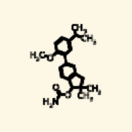 COc1ccc(C(C)C)cc1-c1ccc2c(c1)CC(C)(C)C2OC(N)=O